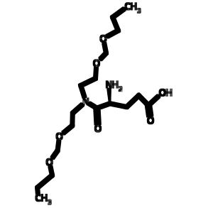 CCCOCOCCN(CCOCOCCC)C(=O)[C@@H](N)CCC(=O)O